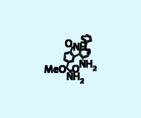 COC(C(N)=O)c1ccc(C(N)=O)c(-c2cc(-c3cccs3)ccc2N)c1